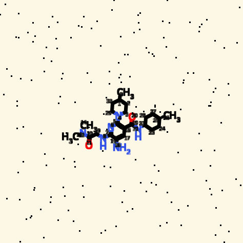 CC1CCN(c2nc(NCC(=O)N(C)C)c(N)cc2C(=O)N[C@H]2CC[C@H](C)CC2)CC1